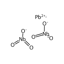 [O]=[Nb](=[O])[O-].[O]=[Nb](=[O])[O-].[Pb+2]